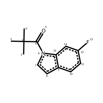 CC(C)(C)C(=O)n1ccc2ccc(F)cc21